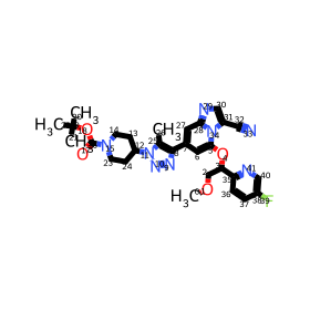 COCC(Oc1cc(-c2nnn(C3CCN(C(=O)OC(C)(C)C)CC3)c2C)cc2ncc(C#N)n12)c1ccc(F)cn1